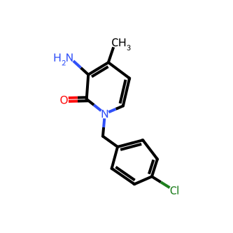 Cc1ccn(Cc2ccc(Cl)cc2)c(=O)c1N